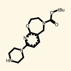 CC(C)(C)OC(=O)N1CCOc2nc(N3CCNCC3)ccc2C1